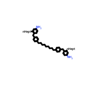 CCCCCCCc1cc(N)ccc1Cc1ccc(CCCCCCCCCc2ccc(Cc3ccc(N)cc3CCCCCCC)cc2)cc1